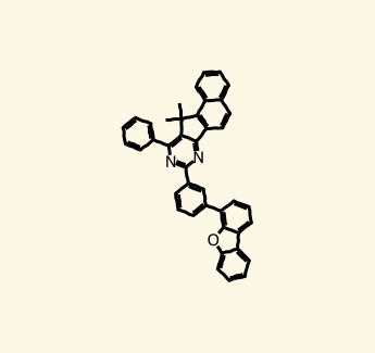 CC1(C)c2c(-c3ccccc3)nc(-c3cccc(-c4cccc5c4oc4ccccc45)c3)nc2-c2ccc3ccccc3c21